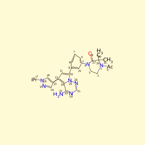 CC(=O)N1CCN(c2cccc(-c3cc(-c4cnn(C(C)C)c4)c4c(N)ncnn34)c2)C(=O)C1(C)C